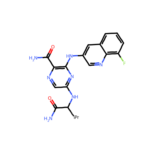 CC(C)C(Nc1cnc(C(N)=O)c(Nc2cnc3c(F)cccc3c2)n1)C(N)=O